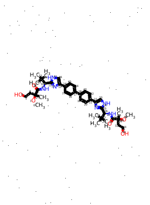 COC(C)(CCO)C(=O)N[C@H](c1nc(-c2ccc(-c3ccc(-c4c[nH]c([C@@H](NC(=O)C(C)(CCO)OC)C(C)(C)C)n4)cc3)cc2)c[nH]1)C(C)(C)C